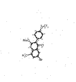 COc1nc2c(C)cc(Br)cc2c(Cl)c1-c1ccc(OC(F)(F)F)cc1